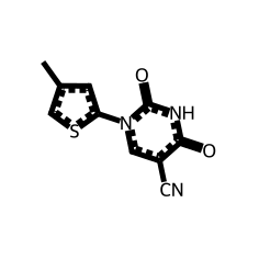 Cc1csc(-n2cc(C#N)c(=O)[nH]c2=O)c1